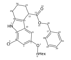 CCCCCCOc1cc(Cl)c2[nH]c3c(c2c1)C(C(=O)OCc1ccccc1)CCC3